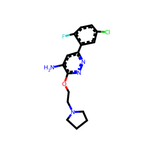 Nc1cc(-c2cc(Cl)ccc2F)nnc1OCCN1CCCC1